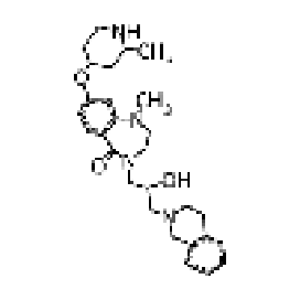 CC1CC(Oc2ccc3c(c2)N(C)CCN(CC(O)CN2CCc4ccccc4C2)C3=O)CCN1